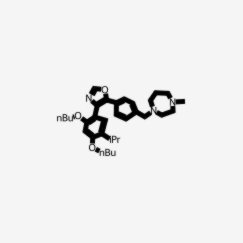 CCCCOc1cc(OCCCC)c(C(C)C)cc1-c1ncoc1-c1ccc(CN2CCCN(C)CC2)cc1